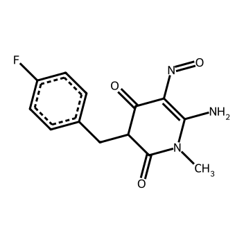 CN1C(=O)C(Cc2ccc(F)cc2)C(=O)C(N=O)=C1N